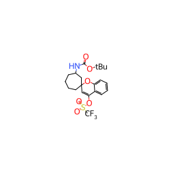 CC(C)(C)OC(=O)NC1CCCCC2(C=C(OS(=O)(=O)C(F)(F)F)c3ccccc3O2)C1